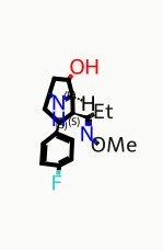 CCC(=NOC)[C@H]1[C@@H](c2ccc(F)cc2)CC2CC(O)[C@@H]1N2